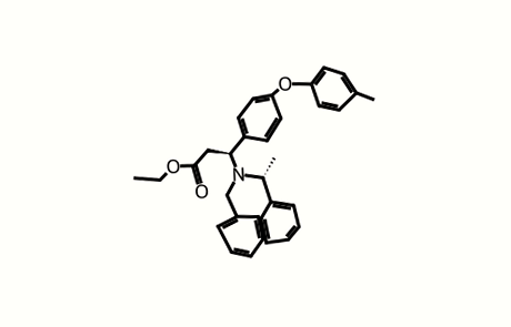 CCOC(=O)C[C@@H](c1ccc(Oc2ccc(C)cc2)cc1)N(Cc1ccccc1)[C@H](C)c1ccccc1